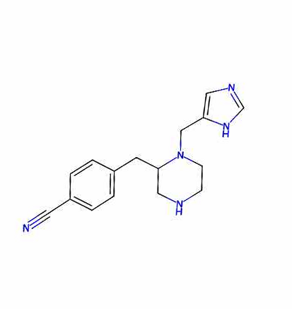 N#Cc1ccc(CC2CNCCN2Cc2cnc[nH]2)cc1